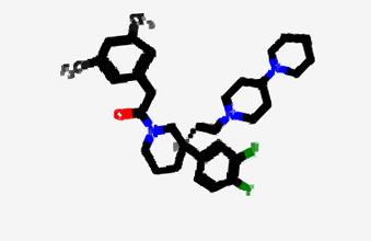 O=C(Cc1cc(C(F)(F)F)cc(C(F)(F)F)c1)N1CCC[C@](CCN2CCC(N3CCCCC3)CC2)(c2ccc(F)c(F)c2)C1